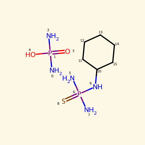 NP(N)(=O)O.NP(N)(=S)NC1CCCCC1